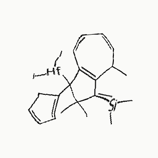 CC1C=CC=CC2=C1C(=[Si](C)C)C(C)(C)[C]2(C1=CC=CC1)[Hf]([I])[I]